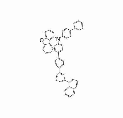 c1ccc(-c2ccc(N(c3ccc(-c4ccc(-c5cccc(-c6cccc7ccccc67)c5)cc4)cc3)c3cccc4oc5ccccc5c34)cc2)cc1